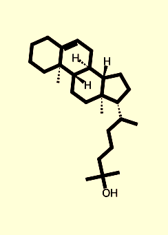 CC(CCCC(C)(C)O)[C@H]1CC[C@H]2[C@@H]3CC=C4CCCC[C@]4(C)[C@H]3CC[C@]12C